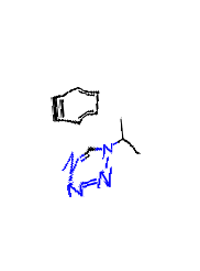 CC(C)n1cnnn1.c1ccccc1